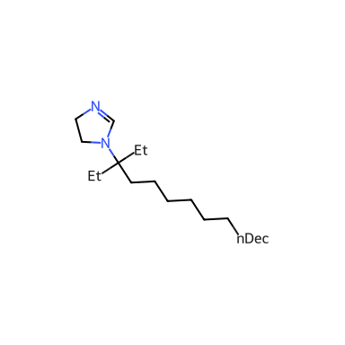 CCCCCCCCCCCCCCCCC(CC)(CC)N1C=NCC1